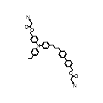 CCc1ccc(N(c2ccc(CCCc3ccc(-c4ccc(COC(=O)CC#N)cc4)cc3)cc2)c2ccc(COC(=O)CC#N)cc2)cc1